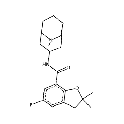 CN1C2CCCC1CC(NC(=O)c1cc(F)cc3c1OC(C)(C)C3)C2